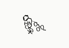 CCOC(=O)COC[C@@H](Cc1ccccc1)NCC(=O)OC(C)(C)C